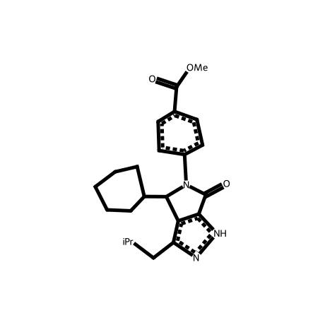 COC(=O)c1ccc(N2C(=O)c3[nH]nc(CC(C)C)c3C2C2CCCCC2)cc1